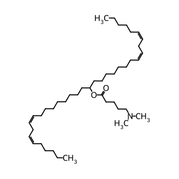 CCCCC/C=C\C/C=C\CCCCCCCCC(CCCCCCC/C=C\C/C=C\CCCCC)OC(=O)CCCCN(C)C